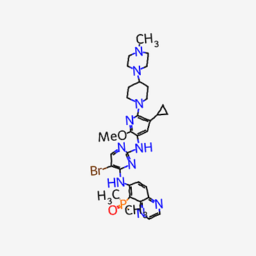 COc1nc(N2CCC(N3CCN(C)CC3)CC2)c(C2CC2)cc1Nc1ncc(Br)c(Nc2ccc3nccnc3c2P(C)(C)=O)n1